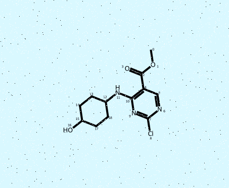 COC(=O)c1cnc(Cl)nc1NC1CCC(O)CC1